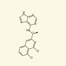 C[C@H](Nc1ncnc2[nH]cnc12)c1cc2cccc(Cl)c2c(Cl)n1